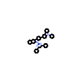 c1ccc(-c2cc(-c3ccccc3)nc(-n3c4cc(-c5ccc6c(c5)c5ccccc5n6-c5ccccc5)ccc4c4cc5ccccc5cc43)n2)cc1